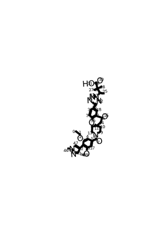 CCOc1cc(C(=O)N2CCC3(CC2)CC(=O)c2cc(-c4nnn(C(C)C(C)(C)C(=O)O)n4)ccc2O3)cc(OC)c1-c1cnn(C)c1